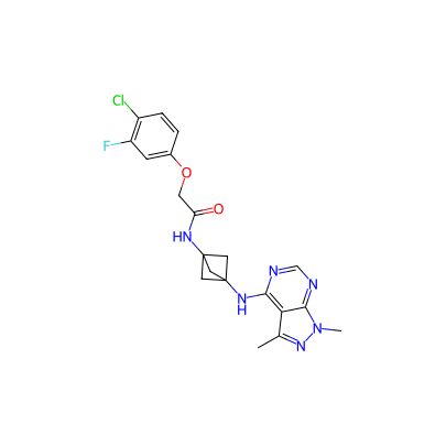 Cc1nn(C)c2ncnc(NC34CC(NC(=O)COc5ccc(Cl)c(F)c5)(C3)C4)c12